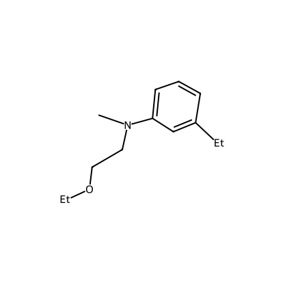 CCOCCN(C)c1cccc(CC)c1